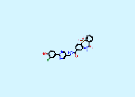 O=C(NCc1cnc(-c2ccc(O)c(F)c2)nc1)c1ccc2c(c1)NC(=O)c1ccccc1S2(=O)=O